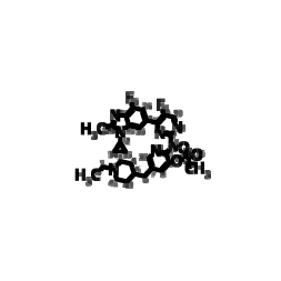 CCN1CCC(Cc2ccc(N(OS(C)(=O)=O)c3ncc(F)c(-c4cc(F)c5nc(C)n(C6CC6)c5c4)n3)nc2)CC1